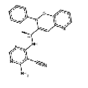 C[C@H](Nc1ncnc(N)c1C#N)C1=Cc2ncccc2SN1c1ccccc1